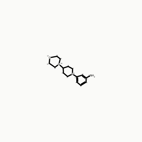 Nc1cccc(N2CCC(N3CCOCC3)CC2)c1